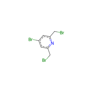 BrCc1cc(Br)cc(CBr)n1